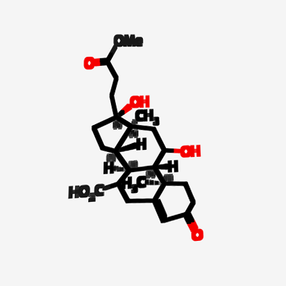 COC(=O)CC[C@@]1(O)CC[C@H]2[C@@H]3C(C(=O)O)CC4=CC(=O)CC[C@]4(C)[C@H]3C(O)C[C@@]21C